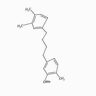 COc1cc(CCCCc2ccc(C)c(C)c2)ccc1C